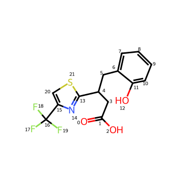 O=C(O)CC(Cc1ccccc1O)c1nc(C(F)(F)F)cs1